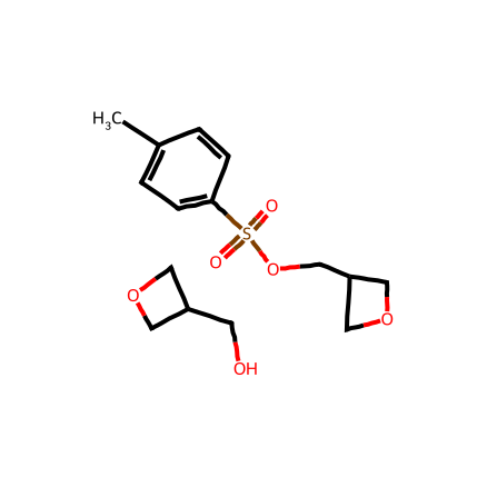 Cc1ccc(S(=O)(=O)OCC2COC2)cc1.OCC1COC1